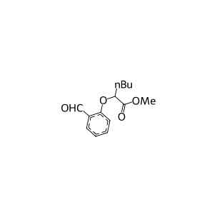 CCCCC(Oc1ccccc1C=O)C(=O)OC